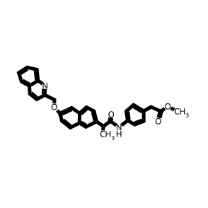 COC(=O)Cc1ccc(NC(=O)C(C)c2ccc3cc(OCc4ccc5ccccc5n4)ccc3c2)cc1